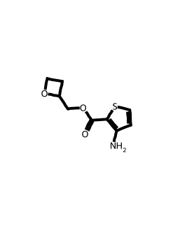 Nc1ccsc1C(=O)OCC1CCO1